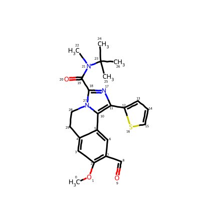 COc1cc2c(cc1C=O)-c1c(-c3cccs3)nc(C(=O)N(C)C(C)(C)C)n1CC2